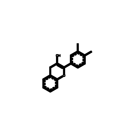 Cc1ccc(C2=C(O)Cc3ccccc3O2)cc1C